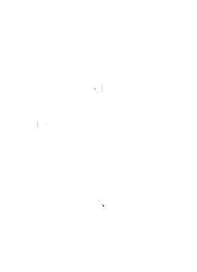 CCC(C)(c1ccc2[nH]c3ccccc3c2c1)c1cccs1